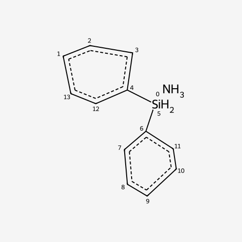 N.c1ccc([SiH2]c2ccccc2)cc1